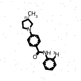 [3H]c1ccccc1NC(=O)c1ccc(N2CC[C@H](C)C2)cc1